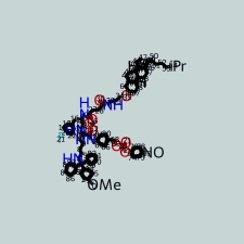 COc1ccc(C(NCCCC[C@H](NC(=O)[C@H](Cc2ccc(F)cc2)NC(=O)CCC(=O)NCCCO[C@H]2CC[C@@]3(C)C(=CC[C@H]4[C@@H]5CC[C@H]([C@H](C)CCCC(C)C)[C@@]5(C)CC[C@@H]43)C2)C(=O)Nc2ccc(COC(=O)Oc3ccc(N=O)cc3)cc2)(c2ccccc2)c2ccccc2)cc1